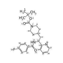 CC(C)(C)OC(=O)N1CCC(CC(NC(=O)c2ccc(F)cc2)c2ccccn2)CC1